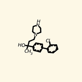 CC(O)(CCN1CCNCC1)c1ccc(-c2ccccc2Cl)cc1